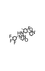 Cc1cc(F)c(-c2cccn(C)c2=O)cc1Nc1nc(=O)ccn1Cc1cc(F)c(F)c(F)c1